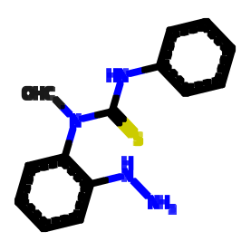 NNc1ccccc1N(C=O)C(=S)Nc1ccccc1